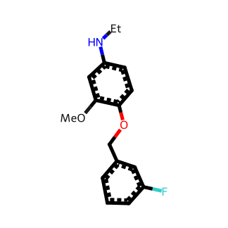 CCNc1ccc(OCc2cccc(F)c2)c(OC)c1